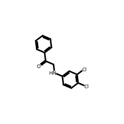 O=C(CNc1ccc(Cl)c(Cl)c1)c1ccccc1